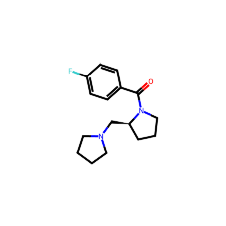 O=C(c1c[c]c(F)cc1)N1CCC[C@H]1CN1CCCC1